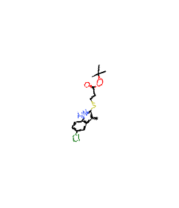 Cc1c(SCCC(=O)OC(C)(C)C)[nH]c2ccc(Cl)cc12